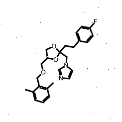 Cc1cccc(C)c1COCC1COC(CCc2ccc(F)cc2)(Cn2ccnc2)O1